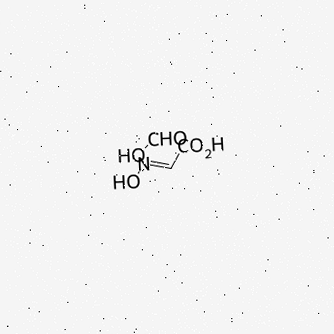 O=C(O)C=NO.O=CO